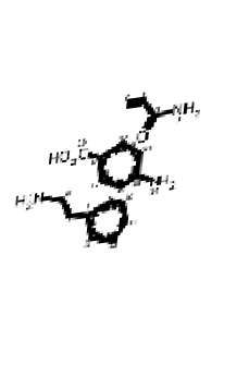 C=CC(N)=O.NCCc1ccccc1.Nc1ccc(C(=O)O)cc1